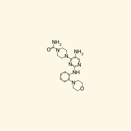 NC(=O)N1CCN(c2nc(Nc3ccccc3N3CCOCC3)ncc2N)CC1